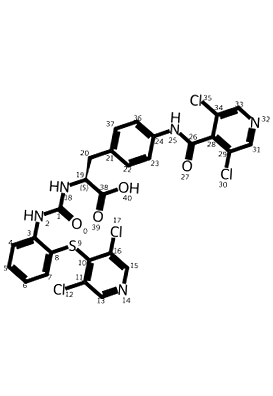 O=C(Nc1ccccc1Sc1c(Cl)cncc1Cl)N[C@@H](Cc1ccc(NC(=O)c2c(Cl)cncc2Cl)cc1)C(=O)O